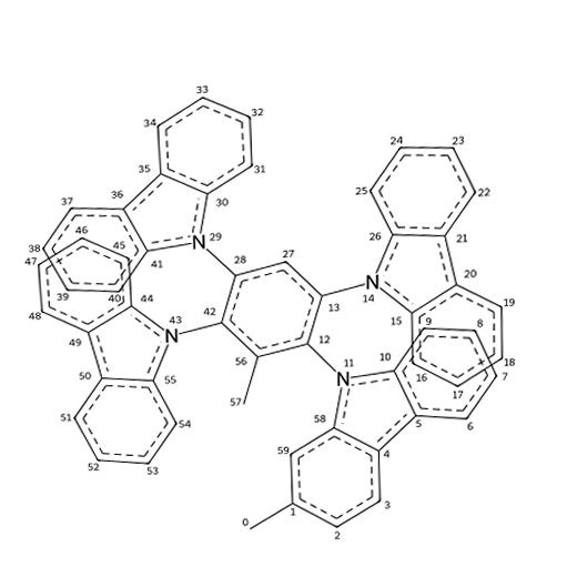 Cc1ccc2c3ccccc3n(-c3c(-n4c5ccccc5c5ccccc54)cc(-n4c5ccccc5c5ccccc54)c(-n4c5ccccc5c5ccccc54)c3C)c2c1